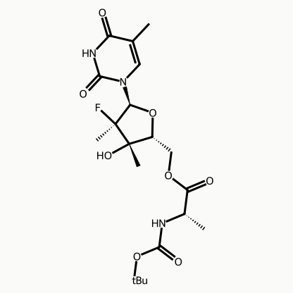 Cc1cn([C@H]2O[C@H](COC(=O)[C@H](C)NC(=O)OC(C)(C)C)[C@](C)(O)[C@@]2(C)F)c(=O)[nH]c1=O